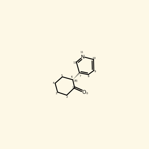 O=C1CCCC[C@@H]1c1cccnc1